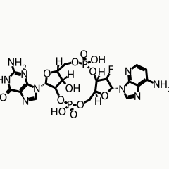 Nc1nc2c(ncn2[C@@H]2O[C@@H]3COP(=O)(O)O[C@@H]4C(F)[C@H](n5cnc6c(N)ccnc65)O[C@@H]4COP(=O)(O)OC2[C@H]3O)c(=O)[nH]1